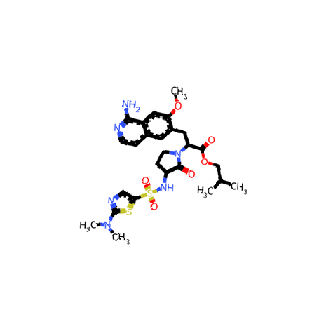 COc1cc2c(N)nccc2cc1CC(C(=O)OCC(C)C)N1CCC(NS(=O)(=O)c2cnc(N(C)C)s2)C1=O